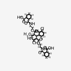 CC1=C(C(=O)OCCNC(=O)c2ccccc2C(=O)O)C(c2cccc(Cl)c2Cl)C(C(=O)OCCNC(=O)c2ccccc2C(=O)O)=C(C)N1